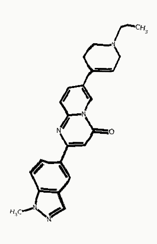 CCN1CC=C(c2ccc3nc(-c4ccc5c(cnn5C)c4)cc(=O)n3c2)CC1